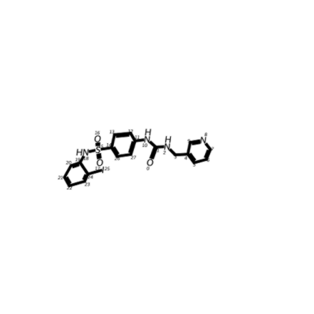 O=C(NCc1cccnc1)Nc1ccc(S(=O)(=O)Nc2ccccc2I)cc1